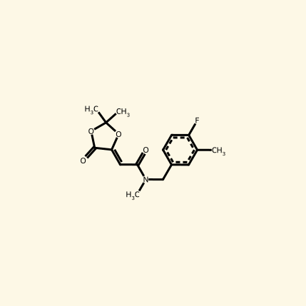 Cc1cc(CN(C)C(=O)/C=C2\OC(C)(C)OC2=O)ccc1F